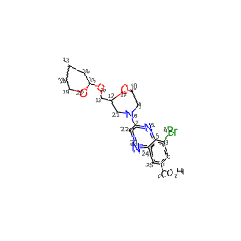 O=C(O)c1cc(Br)c2nc(N3CCOC(COC4CCCCO4)C3)cnc2c1